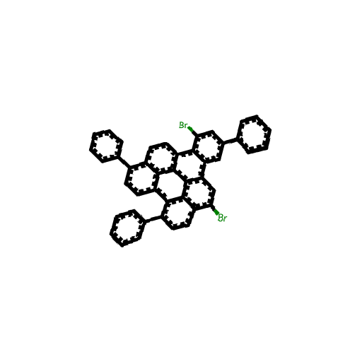 Brc1cc2c3cc(-c4ccccc4)cc(Br)c3c3ccc4c(-c5ccccc5)ccc5c6c(-c7ccccc7)ccc1c6c2c3c45